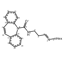 CCCCCCN=CCCNC(=O)N1c2ccccc2C=Cc2ccccc21